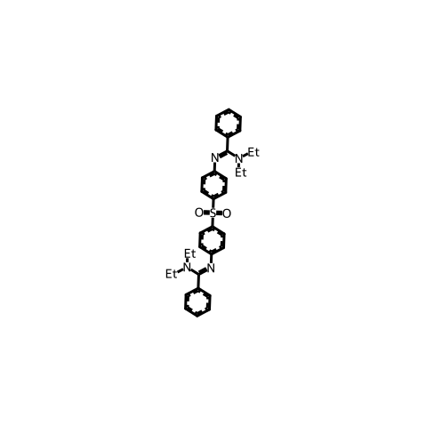 CCN(CC)C(=Nc1ccc(S(=O)(=O)c2ccc(N=C(c3ccccc3)N(CC)CC)cc2)cc1)c1ccccc1